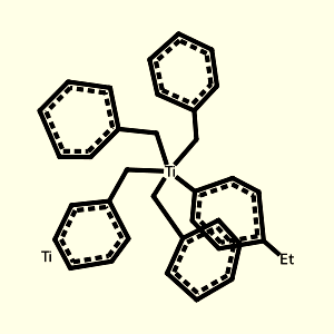 CCc1cc[c]([Ti]([CH2]c2ccccc2)([CH2]c2ccccc2)([CH2]c2ccccc2)[CH2]c2ccccc2)cc1.[Ti]